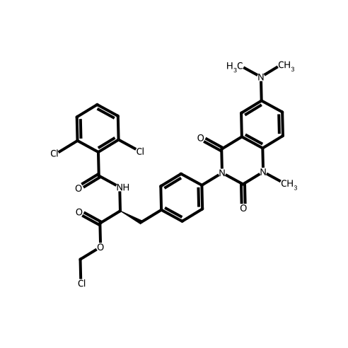 CN(C)c1ccc2c(c1)c(=O)n(-c1ccc(C[C@H](NC(=O)c3c(Cl)cccc3Cl)C(=O)OCCl)cc1)c(=O)n2C